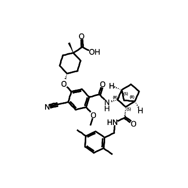 COc1cc(C#N)c(O[C@H]2CC[C@@](C)(C(=O)O)CC2)cc1C(=O)N[C@@H]1[C@H]2CC[C@H](C2)[C@@H]1C(=O)NCc1cc(C)ccc1C